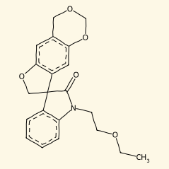 CCOCCN1C(=O)C2(COc3cc4c(cc32)OCOC4)c2ccccc21